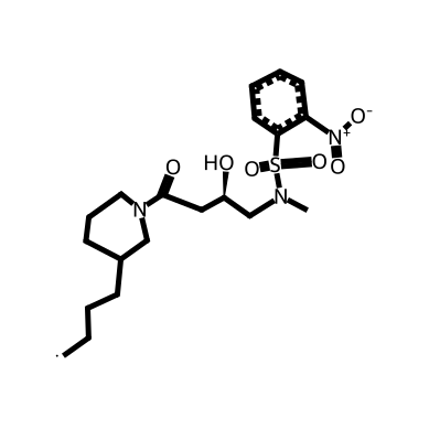 [CH2]CCCC1CCCN(C(=O)C[C@@H](O)CN(C)S(=O)(=O)c2ccccc2[N+](=O)[O-])C1